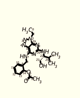 CCn1nnc2c(NCc3ccccc3OC(C)=O)nc(N[C@@H](CO)C(C)C)nc21